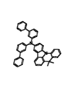 CC1(C)c2ccccc2-n2c3ccc(N(c4cccc(-c5ccccc5)c4)c4cccc(-c5ccccc5)c4)cc3c3cccc1c32